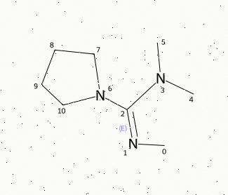 C/N=C(\N(C)C)N1CCCC1